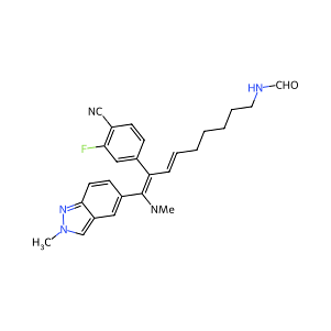 CN/C(=C(\C=C\CCCCCNC=O)c1ccc(C#N)c(F)c1)c1ccc2nn(C)cc2c1